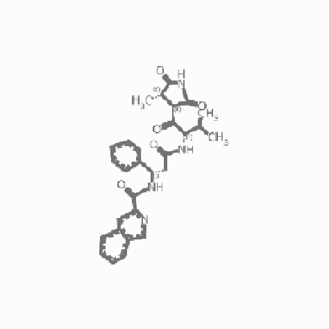 CC(C)[C@H](NC(=O)C[C@H](NC(=O)c1cc2ccccc2cn1)c1ccccc1)C(=O)[C@@H]1C(=O)NC(=O)[C@H]1C